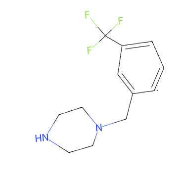 FC(F)(F)c1cc[c]c(CN2CCNCC2)c1